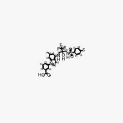 Cc1cc(NCC(O)(CNS(=O)(=O)c2ccc(F)cc2)C(F)(F)F)c2cnn(-c3cccc(C(=O)O)c3)c2c1